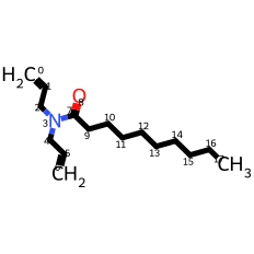 C=CCN(CC=C)C(=O)CCCCCCCCC